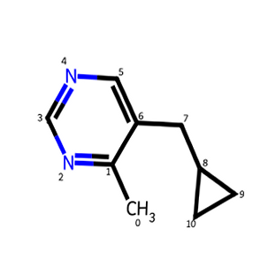 Cc1n[c]ncc1CC1CC1